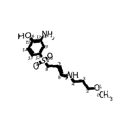 COCCCNC=CCS(=O)(=O)c1ccc(O)c(N)c1